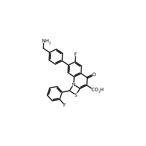 NCc1ccc(-c2cc3c(cc2F)c(=O)c(C(=O)O)c2n3C(c3ccccc3F)S2)cc1